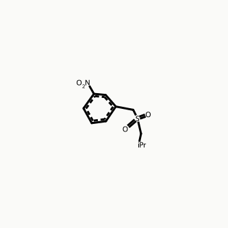 CC(C)CS(=O)(=O)Cc1cccc([N+](=O)[O-])c1